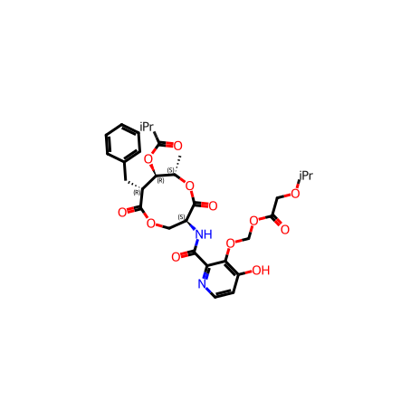 CC(C)OCC(=O)OCOc1c(O)ccnc1C(=O)N[C@H]1COC(=O)[C@H](Cc2ccccc2)[C@@H](OC(=O)C(C)C)[C@H](C)OC1=O